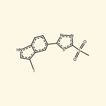 CS(=O)(=O)c1nnc(-c2ccc3[nH]cc(I)c3c2)s1